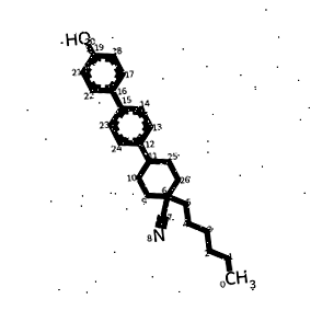 CCCCCCC1(C#N)CCC(c2ccc(-c3ccc(O)cc3)cc2)CC1